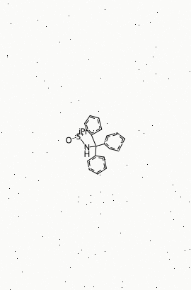 CC(C)[S+]([O-])NC(c1ccccc1)(c1ccccc1)c1ccccc1